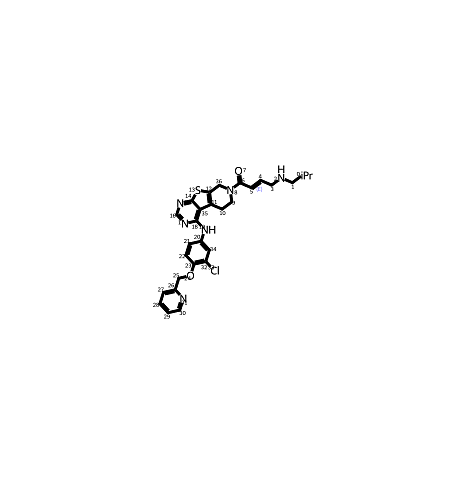 CC(C)CNC/C=C/C(=O)N1CCc2c(sc3ncnc(Nc4ccc(OCc5ccccn5)c(Cl)c4)c23)C1